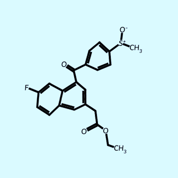 CCOC(=O)Cc1cc(C(=O)c2ccc([S+](C)[O-])cc2)c2cc(F)ccc2c1